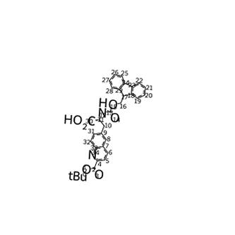 CC(C)(C)OC(=O)c1ccc2cc(C[C@H](NC(=O)OCC3c4ccccc4-c4ccccc43)C(=O)O)ccc2n1